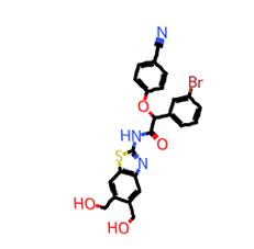 N#Cc1ccc(OC(C(=O)Nc2nc3cc(CO)c(CO)cc3s2)c2cccc(Br)c2)cc1